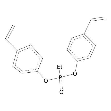 C=Cc1ccc(OP(=O)(CC)Oc2ccc(C=C)cc2)cc1